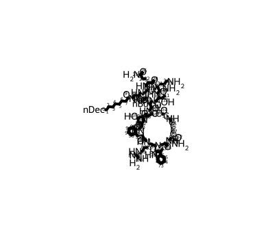 CCCCCCCCCCCCCCCCCC(=O)NCC(=O)N[C@@H](CO)C(=O)N[C@H](CCC(N)=O)C(=O)N[C@@H](CC(N)CN)C(=O)N[C@H](C(=O)N[C@@H](CCCC)C(=O)N[C@H]1CCC(=O)CNCCCC[C@@H](C(N)=O)NC(=O)[C@H](Cc2c[nH]c3ccccc23)NC(=O)[C@H](CCCNC(=N)N)NC(=O)[C@@H](Cc2ccccc2)NC(=O)[C@@H]2C[C@@H](O)CN2C1=O)C(C)O